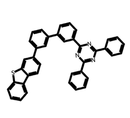 c1ccc(-c2nc(-c3ccccc3)nc(-c3cccc(-c4cccc(-c5ccc6c(c5)sc5ccccc56)c4)c3)n2)cc1